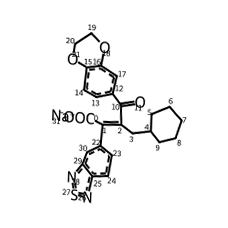 O=C([O-])C(=C(CC1CCCCC1)C(=O)c1ccc2c(c1)OCCO2)c1ccc2nsnc2c1.[Na+]